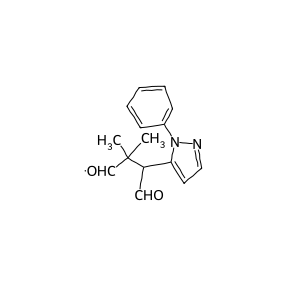 CC(C)([C]=O)C(C=O)c1ccnn1-c1ccccc1